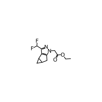 CCOC(=O)Cn1nc(C(F)F)c2c1CC1CC21